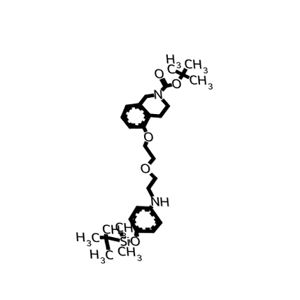 CC(C)(C)OC(=O)N1CCc2c(cccc2OCCOCCNc2ccc(O[Si](C)(C)C(C)(C)C)cc2)C1